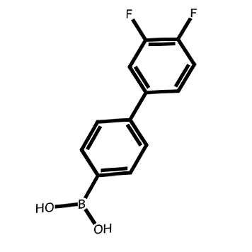 OB(O)c1ccc(-c2ccc(F)c(F)c2)cc1